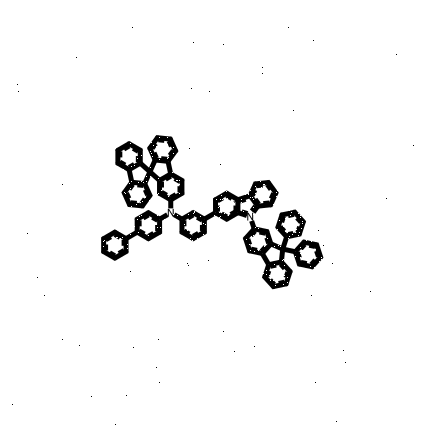 c1ccc(-c2ccc(N(c3cccc(-c4ccc5c6ccccc6n(-c6ccc7c(c6)C(c6ccccc6)(c6ccccc6)c6ccccc6-7)c5c4)c3)c3ccc4c(c3)C3(c5ccccc5-c5ccccc53)c3ccccc3-4)cc2)cc1